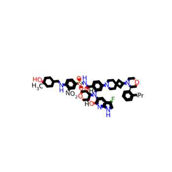 CC(C)c1ccccc1[C@@H]1COCCN1C1CC2(CCN(c3ccc(C(=O)NS(=O)(=O)c4ccc(NCC5CCC(C)(O)CC5)c([N+](=O)[O-])c4)c(N4c5cc6c(F)c[nH]c6nc5O[C@H]5COCC[C@@H]54)c3)CC2)C1